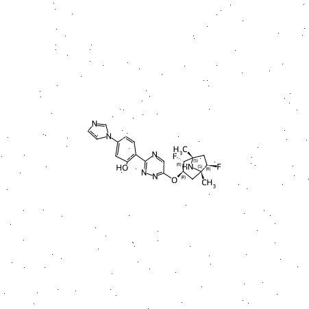 C[C@]12C[C@@H](Oc3cnc(-c4ccc(-n5ccnc5)cc4O)nn3)[C@H](F)[C@](C)(C[C@H]1F)N2